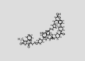 CN1C(=O)C[C@H](C(=O)NCCO[C@H]2CC[C@H](OCCCC(=O)N[C@H]3CC[C@H](C(=O)N4CCN(c5cccc([C@H](CC(=O)O)CN6CC[C@@H](CCc7ccc8c(n7)NCCC8)C6)c5)CC4)CC3)CC2)[C@H]1c1cccnc1